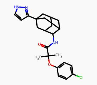 CC(C)(Oc1ccc(Cl)cc1)C(=O)NC1C2CC3CC1CC(c1cc[nH]n1)(C3)C2